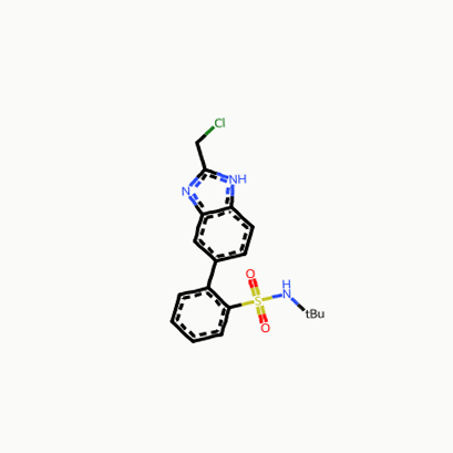 CC(C)(C)NS(=O)(=O)c1ccccc1-c1ccc2[nH]c(CCl)nc2c1